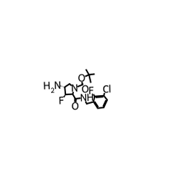 CC(C)(C)OC(=O)N1C[C@@H](N)[C@H](F)C1C(=O)NCc1cccc(Cl)c1F